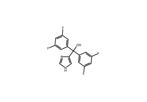 OC(c1cc(F)cc(F)c1)(c1cc(F)cc(F)c1)c1c[nH]cn1